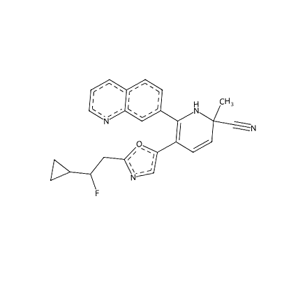 CC1(C#N)C=CC(c2cnc(CC(F)C3CC3)o2)=C(c2ccc3cccnc3c2)N1